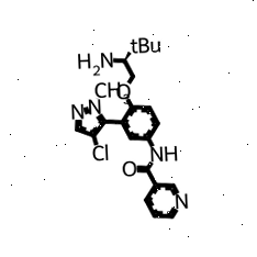 Cn1ncc(Cl)c1-c1cc(NC(=O)c2cccnc2)ccc1OC[C@@H](N)C(C)(C)C